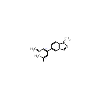 C=N/C=C(\C=C(/C)F)c1ccc2c(cnn2C)c1